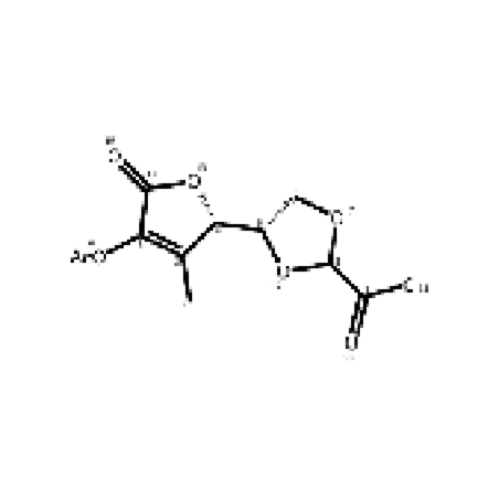 CC(=O)OC1=C(C)[C@@H]([C@@H]2COC(C(=O)Cl)O2)OC1=O